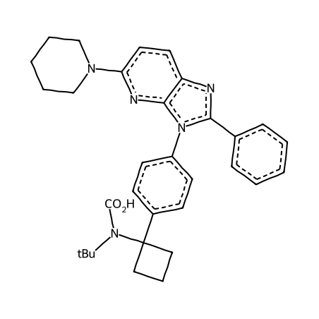 CC(C)(C)N(C(=O)O)C1(c2ccc(-n3c(-c4ccccc4)nc4ccc(N5CCCCC5)nc43)cc2)CCC1